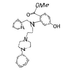 COC(=O)c1ccc(O)cc1N(CCN1CCN(c2ccccc2)CC1)Cc1ccccn1